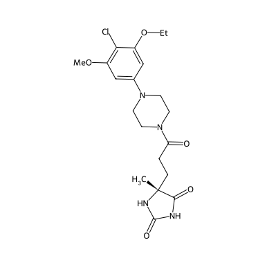 CCOc1cc(N2CCN(C(=O)CC[C@@]3(C)NC(=O)NC3=O)CC2)cc(OC)c1Cl